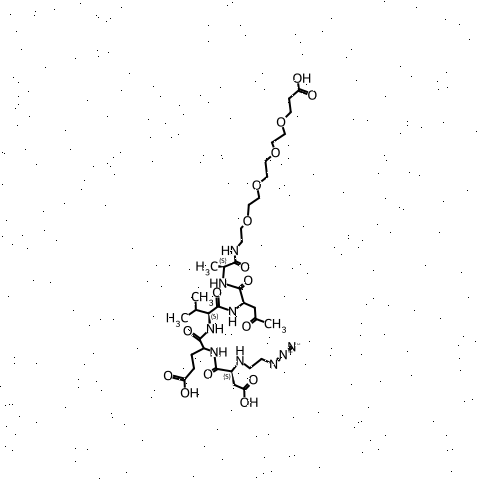 CC(=O)CC(NC(=O)[C@@H](NC(=O)C(CCC(=O)O)NC(=O)[C@H](CC(=O)O)NCCN=[N+]=[N-])C(C)C)C(=O)N[C@@H](C)C(=O)NCCOCCOCCOCCOCCC(=O)O